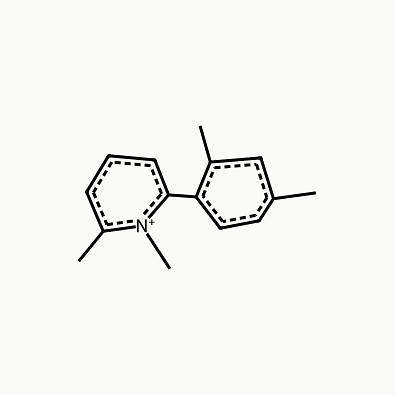 Cc1ccc(-c2cccc(C)[n+]2C)c(C)c1